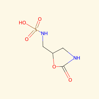 O=C1NCC(CNS(=O)(=O)O)O1